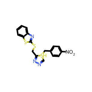 O=[N+]([O-])c1ccc(C[SH]2C=NN=C2CSc2nc3ccccc3s2)cc1